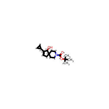 CC(C)(C)OC(=O)N1CCC2(CC=C(C3CC3)C2O)CC1